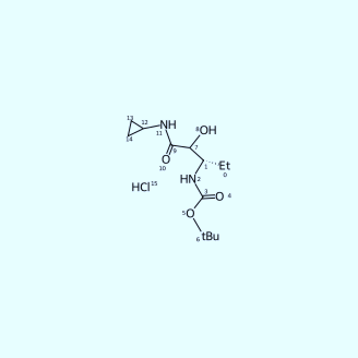 CC[C@H](NC(=O)OC(C)(C)C)C(O)C(=O)NC1CC1.Cl